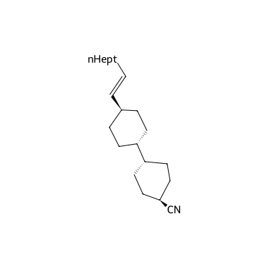 CCCCCCCC=C[C@H]1CC[C@H]([C@H]2CC[C@H](C#N)CC2)CC1